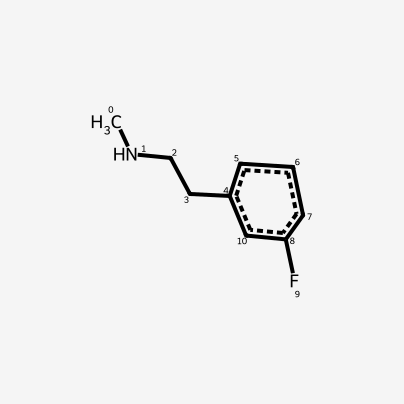 CNCCc1cccc(F)c1